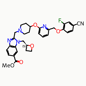 COC(=O)c1ccc2nc(CN3CCC(Oc4cccc(COc5ccc(C#N)cc5F)n4)CC3)n(C[C@@H]3CCO3)c2c1